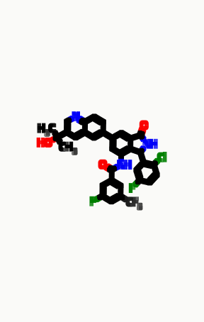 CC(C)(O)c1cnc2ccc(-c3cc(NC(=O)c4cc(F)cc(C(F)(F)F)c4)c4c(c3)C(=O)NC4c3cc(F)ccc3Cl)cc2c1